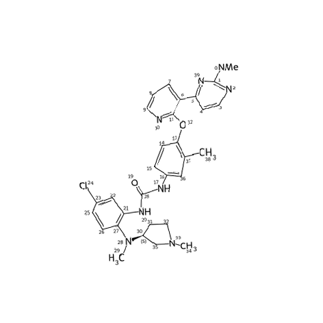 CNc1nccc(-c2cccnc2Oc2ccc(NC(=O)Nc3cc(Cl)ccc3N(C)[C@H]3CCN(C)C3)cc2C)n1